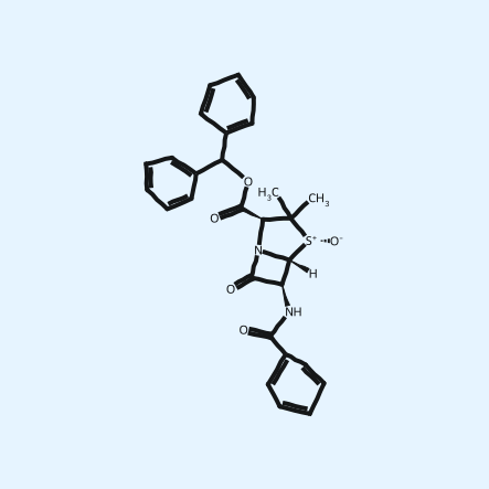 CC1(C)[C@H](C(=O)OC(c2ccccc2)c2ccccc2)N2C(=O)[C@H](NC(=O)c3ccccc3)[C@H]2[S@@+]1[O-]